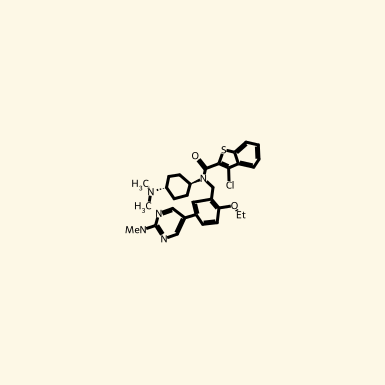 CCOc1ccc(-c2cnc(NC)nc2)cc1CN(C(=O)c1sc2ccccc2c1Cl)[C@H]1CC[C@H](N(C)C)CC1